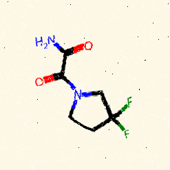 NC(=O)C(=O)N1CCC(F)(F)C1